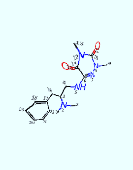 CN(C)C(CNc1nn(C)c(=O)n(C)c1=O)Cc1ccccc1